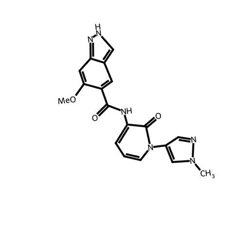 COc1cc2n[nH]cc2cc1C(=O)Nc1cccn(-c2cnn(C)c2)c1=O